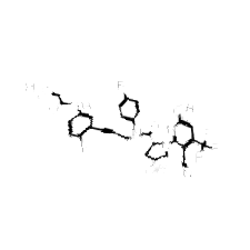 C=CC(=O)Nc1ccc(F)c(C#CCN(C(=O)[C@@H]2C[C@H](O)CN2c2nc(C)cc(C(F)(F)F)c2C#N)c2ccc(F)cc2)c1